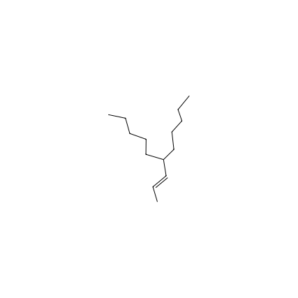 CC=CC(CCCCC)CCCCC